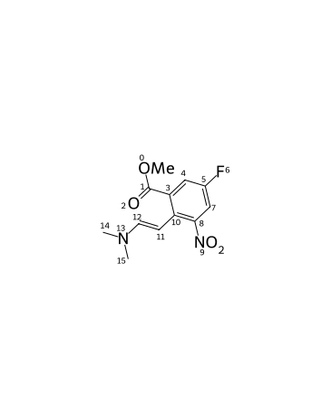 COC(=O)c1cc(F)cc([N+](=O)[O-])c1/C=C/N(C)C